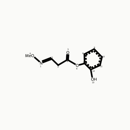 CON=CCC(=O)Oc1ccccc1O